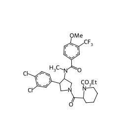 CCOC(=O)N1CCCCC1C(=O)N1CC(c2ccc(Cl)c(Cl)c2)C(N(C)C(=O)c2ccc(OC)c(C(F)(F)F)c2)C1